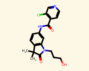 CC1(C)C(=O)N(CCCO)c2cc(NC(=O)c3ccncc3Cl)ccc21